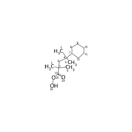 CC(C)(CC(C)(C)C1CCCCC1)C(=O)OO